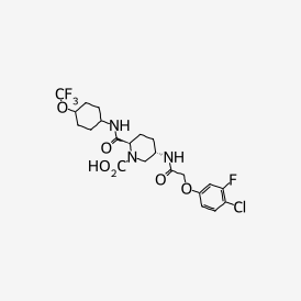 O=C(COc1ccc(Cl)c(F)c1)N[C@H]1CC[C@H](C(=O)NC2CCC(OC(F)(F)F)CC2)N(C(=O)O)C1